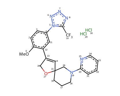 COc1ccc(-n2nnnc2C(F)(F)F)cc1C1=CC2(CCCN(c3ccccn3)C2)OC1.Cl.Cl